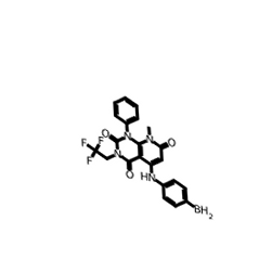 Bc1ccc(Nc2cc(=O)n(C)c3c2c(=O)n(CC(F)(F)F)c(=O)n3-c2ccccc2)cc1